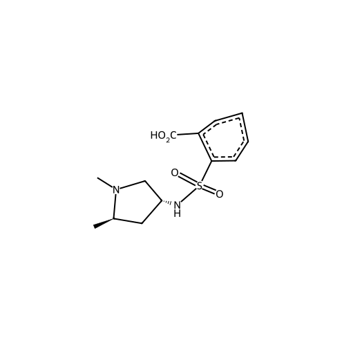 C[C@@H]1C[C@@H](NS(=O)(=O)c2ccccc2C(=O)O)CN1C